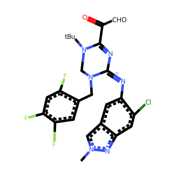 Cn1cc2cc(/N=C3/N=C(C(=O)C=O)N(C(C)(C)C)CN3Cc3cc(F)c(F)cc3F)c(Cl)cc2n1